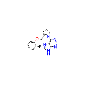 CCc1ccccc1OC[C@H]1CCCN1c1ncnc2[nH]cnc12